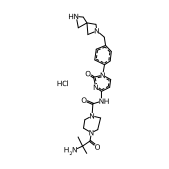 CC(C)(N)C(=O)N1CCN(C(=O)Nc2ccn(-c3ccc(CN4CC5(CNC5)C4)cc3)c(=O)n2)CC1.Cl